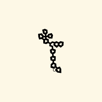 c1ccc(C2(c3ccccc3)c3ccccc3-c3ccc(C(CCc4ccc(-c5ccc(-c6ccc7oc8ccccc8c7c6)cc5)cc4)Cc4ccc5ccccc5c4)cc32)cc1